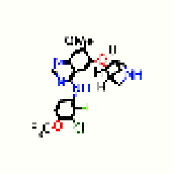 COc1cc2ncnc(Nc3ccc(OC(F)(F)F)c(Cl)c3F)c2cc1O[C@@H]1[C@@H]2CNC[C@H]1C2